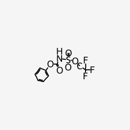 O=C(NS(=O)(=O)OCC(F)(F)F)Oc1ccccc1